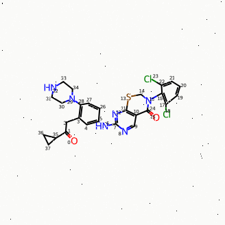 O=C(Cc1cc(Nc2ncc3c(n2)SCN(c2c(Cl)cccc2Cl)C3=O)ccc1N1CCNCC1)C1CC1